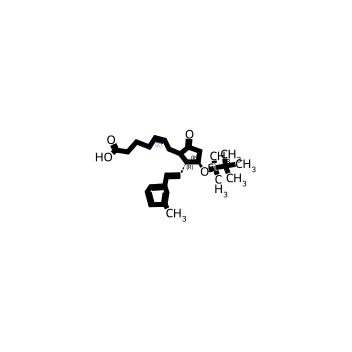 Cc1cccc(C=C[C@@H]2C(C/C=C\CCCC(=O)O)C(=O)C[C@H]2O[Si](C)(C)C(C)(C)C)c1